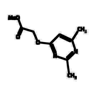 COC(=O)COc1cc(C)nc(C)n1